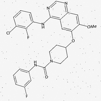 COc1cc2ncnc(Nc3cccc(Cl)c3F)c2cc1OC1CCN(C(=O)Nc2cccc(F)c2)CC1